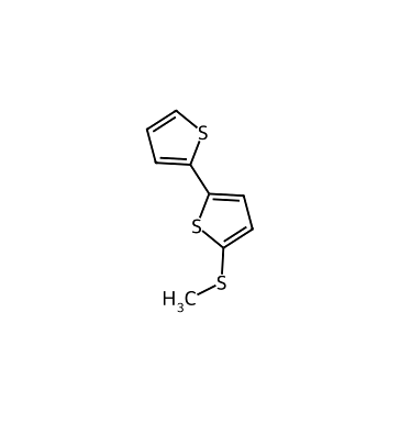 CSc1ccc(-c2cccs2)s1